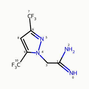 N=C(N)Cn1nc(C(F)(F)F)cc1C(F)(F)F